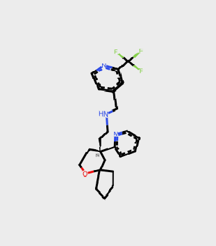 FC(F)(F)c1cc(CNCC[C@]2(c3ccccn3)CCOC3(CCCC3)C2)ccn1